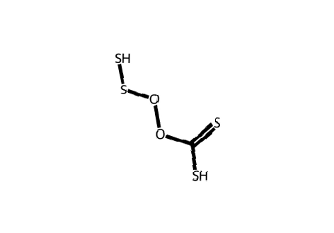 S=C(S)OOSS